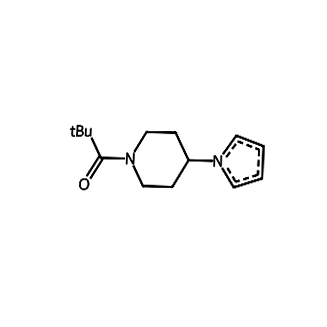 CC(C)(C)C(=O)N1CCC(n2cccc2)CC1